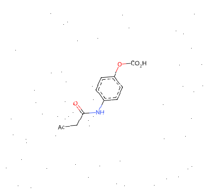 CC(=O)CC(=O)Nc1ccc(OC(=O)O)cc1